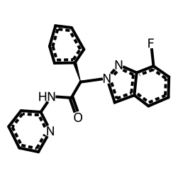 O=C(Nc1ccccn1)[C@@H](c1ccccc1)n1cc2cccc(F)c2n1